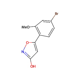 COc1cc(Br)ccc1-c1cc(O)no1